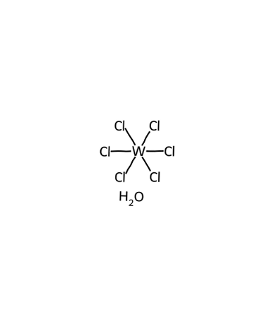 O.[Cl][W]([Cl])([Cl])([Cl])([Cl])[Cl]